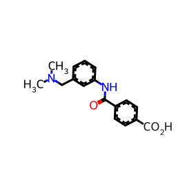 CN(C)Cc1cccc(NC(=O)c2ccc(C(=O)O)cc2)c1